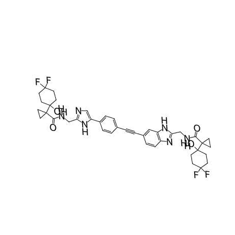 O=C(NCc1ncc(-c2ccc(C#Cc3ccc4nc(CNC(=O)C5(C6(O)CCC(F)(F)CC6)CC5)[nH]c4c3)cc2)[nH]1)C1(C2(O)CCC(F)(F)CC2)CC1